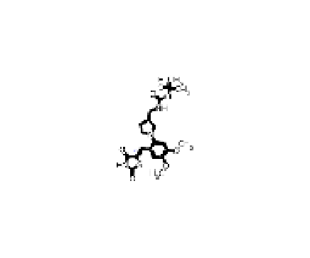 COc1cc(/C=C2\SC(=O)NC2=O)c(N2CCC(CNC(=O)OC(C)(C)C)C2)cc1OC